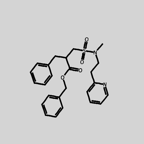 CN(CCc1ccccn1)S(=O)(=O)CC(Cc1ccccc1)C(=O)OCc1ccccc1